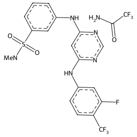 CNS(=O)(=O)c1cccc(Nc2cc(Nc3ccc(C(F)(F)F)c(F)c3)ncn2)c1.NC(=O)C(F)(F)F